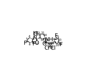 O=C(Nc1ccc(F)cc1F)c1cc(NC(=O)[C@H]2[C@H](c3cc(F)cc(F)c3)C2(Cl)Cl)ccc1Cl